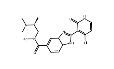 CC(=O)N(C[C@H](C)N(C)C)C(=O)C1=CC2N=C(c3c(Cl)cc[nH]c3=O)NC2C=C1